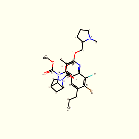 Cc1c(OCC2CCCN2C)nc2c(F)c(Br)c(CCC#N)cc2c1N(C(=O)OC(C)(C)C)C1C2CC1N(C(=O)OC(C)(C)C)C2